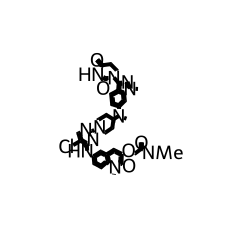 CNC(=O)COc1cc2cc(Nc3nc(N4CCC(N(C)c5ccc6c(N7CCC(=O)NC7=O)nn(C)c6c5)CC4)ncc3Cl)ccc2n(C)c1=O